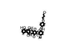 CCCC[O].COc1ccc(O)cc1.O=C1C(Cl)=C(Cl)C(=O)C(Cl)=C1Cl.O=C1C=CC(=O)C=C1.Oc1ccc(O)cc1.Oc1ccccc1